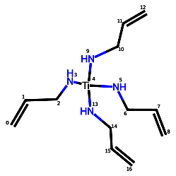 C=CC[NH][Ti]([NH]CC=C)([NH]CC=C)[NH]CC=C